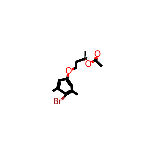 CC(=O)O[C@H](C)CCOc1cc(C)c(Br)c(C)c1